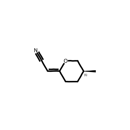 C[C@H]1CCC(=CC#N)OC1